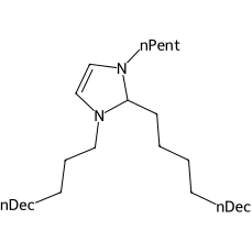 CCCCCCCCCCCCCCC1N(CCCCC)C=CN1CCCCCCCCCCCCC